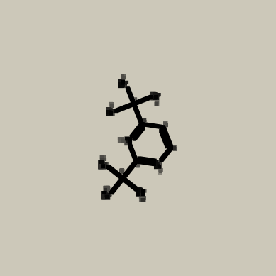 BrC(Br)(Br)c1ccnc(C(Br)(Br)Br)n1